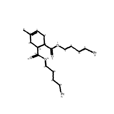 CC1=CCC(C(=O)OCCCCC(C)C)C(C(=O)OCCCCC(C)C)C1